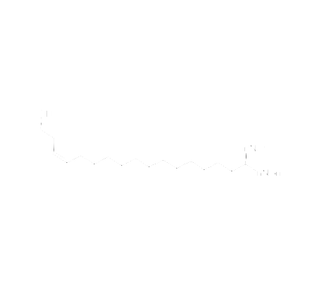 CCCCCCCCCC(CCCCCCCCC)CCCCCCCCCCCC/C=C\CCO